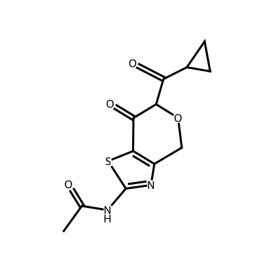 CC(=O)Nc1nc2c(s1)C(=O)C(C(=O)C1CC1)OC2